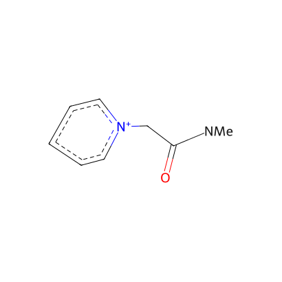 CNC(=O)C[n+]1ccccc1